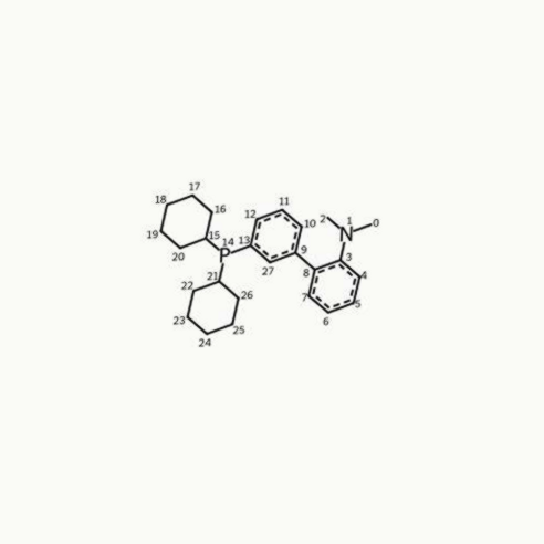 CN(C)c1ccccc1-c1cccc(P(C2CCCCC2)C2CCCCC2)c1